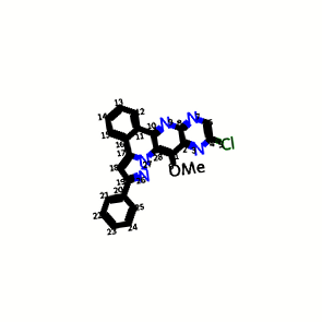 COc1c2nc(Cl)cnc2nc2c3ccccc3c3cc(-c4ccccc4)nn3c12